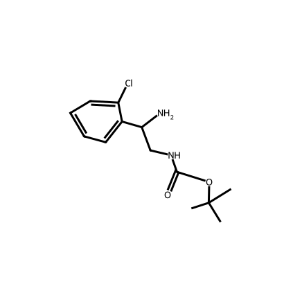 CC(C)(C)OC(=O)NCC(N)c1ccccc1Cl